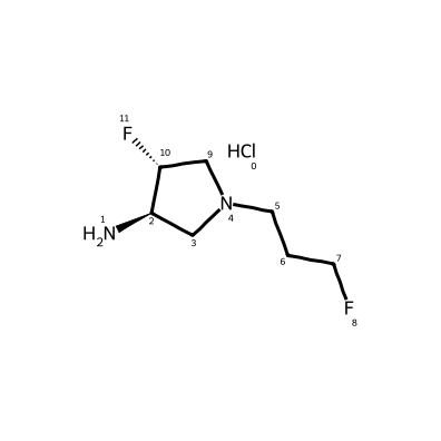 Cl.N[C@@H]1CN(CCCF)C[C@H]1F